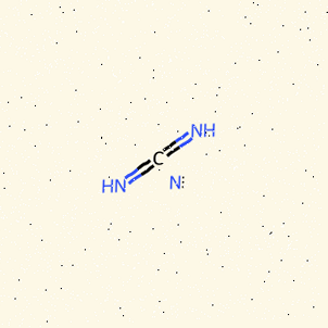 N=C=N.[N]